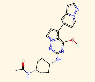 COc1nc(N[C@H]2CC[C@@H](NC(C)=O)CC2)nn2ccc(-c3ccn4nccc4c3)c12